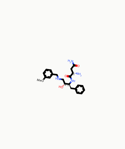 COc1cccc(CNC[C@@H](O)[C@H](Cc2ccccc2)NC(=O)[C@@H](N)CC(N)=O)c1